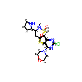 CN(C(Cc1cc2nc(Cl)nc(N3CCOCC3)c2s1)C1CCCN1)S(C)(=O)=O